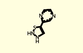 C1=C(c2cnccn2)SNN1